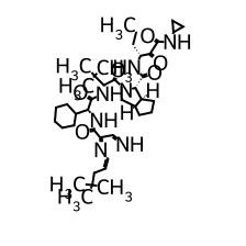 CCC[C@@H](NC(=O)[C@@H]1[C@H]2CCC[C@H]2CN1C(=O)[C@@H](NC(=O)[C@@H](NC(=O)/C(C=N)=N/C=C\CC(C)(C)C)C1CCCCC1)C(C)(C)C)C(=O)C(=O)NC1CC1